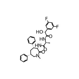 C[C@H](NC(=O)[C@H](O)c1cc(F)cc(F)c1)C(=O)N[C@@H]1C(=O)N(C)C[C@H](c2ccccc2)C[C@@H]1c1ccccc1